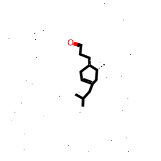 CC(C)CC1=CCC(CCC=O)[C@H](C)C1